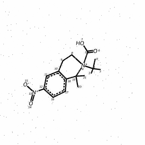 CC(C)(C)[N+]1(C(=O)O)CCc2cc([N+](=O)[O-])ccc2C1(C)C